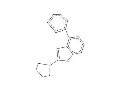 [CH]1C(C2CCCC2)=Cc2c1cccc2-c1ccccc1